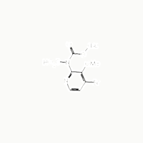 COc1c(Br)ccnc1N(C(=O)O)C(=O)OC(C)(C)C